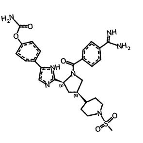 CS(=O)(=O)N1CCC([C@H]2C[C@@H](c3ncc(-c4ccc(OC(N)=O)cc4)[nH]3)N(C(=O)c3ccc(C(=N)N)cc3)C2)CC1